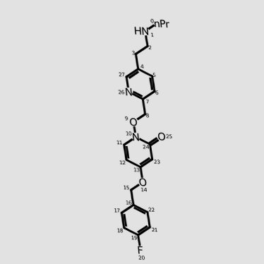 CCCNCCc1ccc(COn2ccc(OCc3ccc(F)cc3)cc2=O)nc1